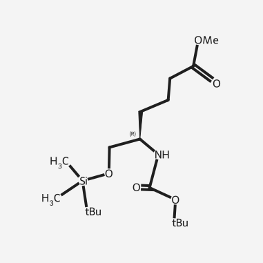 COC(=O)CCC[C@H](CO[Si](C)(C)C(C)(C)C)NC(=O)OC(C)(C)C